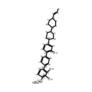 C/C=C/C1CCC(C2CCC(c3ccc(-c4ccc(-c5ccc(OCCCC)c(F)c5F)cc4)c(F)c3)CC2)CC1